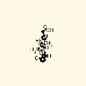 Cn1c(Nc2ccnc([C@@H]3C[C@H]3C(=O)O)c2)nc2c1c(=O)n(Cc1cc3c(Cl)cccc3[nH]1)c(=O)n2C